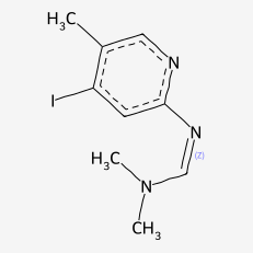 Cc1cnc(/N=C\N(C)C)cc1I